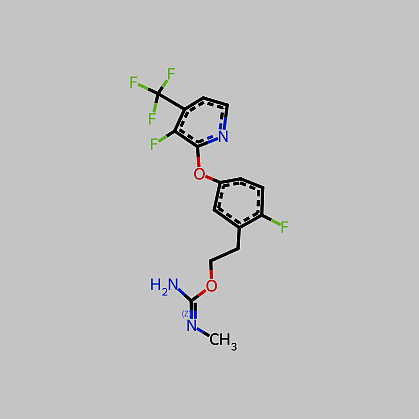 C/N=C(/N)OCCc1cc(Oc2nccc(C(F)(F)F)c2F)ccc1F